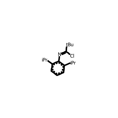 CC(C)c1cccc(C(C)C)c1/N=C(\Cl)C(C)(C)C